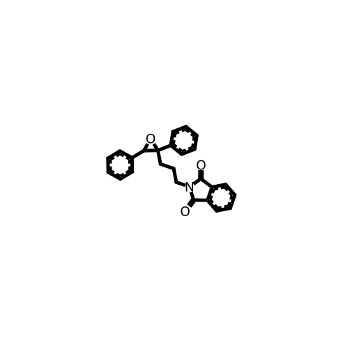 O=C1c2ccccc2C(=O)N1CCCC1(c2ccccc2)OC1c1ccccc1